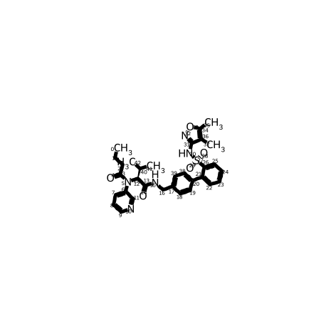 CCCC(=O)N(c1cccnc1)[C@H](C(=O)NCc1ccc(-c2ccccc2S(=O)(=O)Nc2noc(C)c2C)cc1)C(C)C